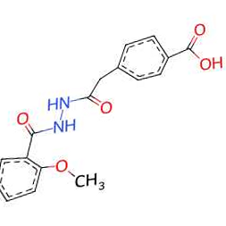 COc1ccccc1C(=O)NNC(=O)Cc1ccc(C(=O)O)cc1